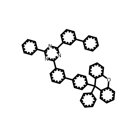 c1ccc(-c2cccc(-c3nc(-c4ccccc4)nc(-c4cccc(-c5ccc(C6(c7ccccc7)c7ccccc7Oc7ccccc76)cc5)c4)n3)c2)cc1